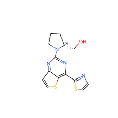 OC[C@H]1CCCN1c1nc(-c2nccs2)c2sccc2n1